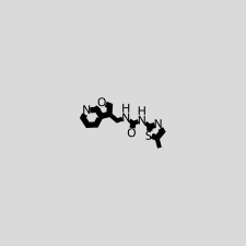 Cc1cnc(NC(=O)NCc2coc3ncccc23)s1